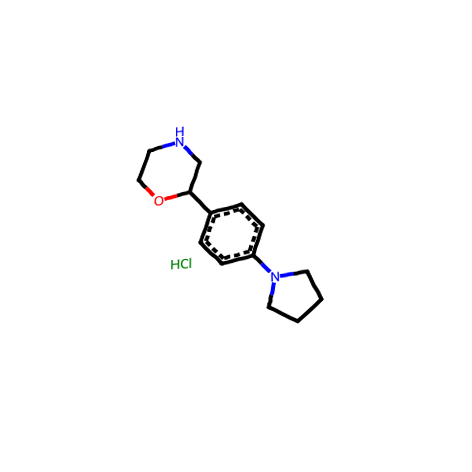 Cl.c1cc(N2CCCC2)ccc1C1CNCCO1